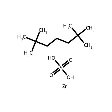 CC(C)(C)CCCC(C)(C)C.O=S(=O)(O)O.[Zr]